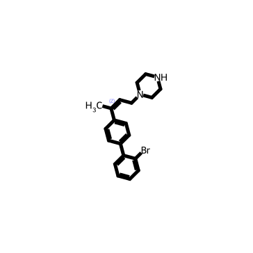 C/C(=C/CN1CCNCC1)c1ccc(-c2ccccc2Br)cc1